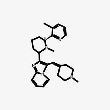 Cc1cccnc1[C@@H]1CCCC(c2nc3ccccn3c2C=C2CCN(C)CC2)N1C